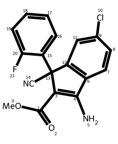 COC(=O)C1=C(N)c2ccc(Cl)cc2C1(C#N)c1ccccc1F